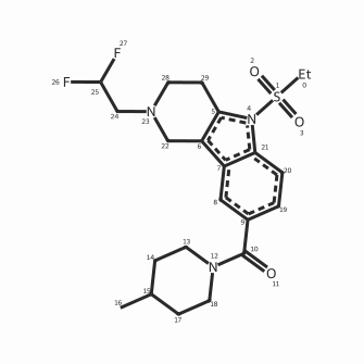 CCS(=O)(=O)n1c2c(c3cc(C(=O)N4CCC(C)CC4)ccc31)CN(CC(F)F)CC2